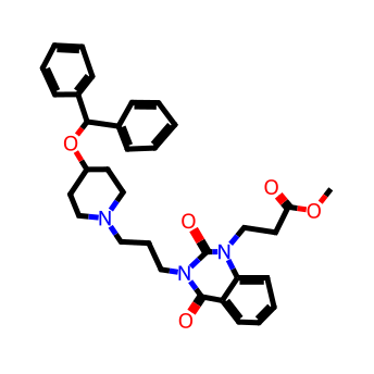 COC(=O)CCn1c(=O)n(CCCN2CCC(OC(c3ccccc3)c3ccccc3)CC2)c(=O)c2ccccc21